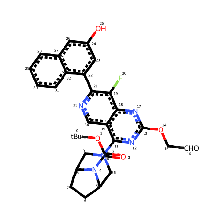 CC(C)(C)OC(=O)N1C2CCC1CN(c1nc(OCC=O)nc3c(F)c(-c4cc(O)cc5ccccc45)ncc13)C2